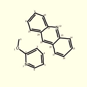 COc1ccccn1.c1ccc2nc3ccccc3cc2c1